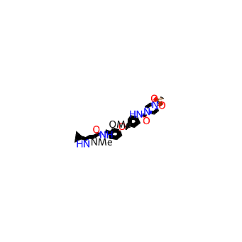 CN/C(=C\C(=N)C1CC1)C(=O)NCc1cccc(OCc2ccc(NC(=O)N3CCN(S(C)(=O)=O)CC3)cc2)c1OC